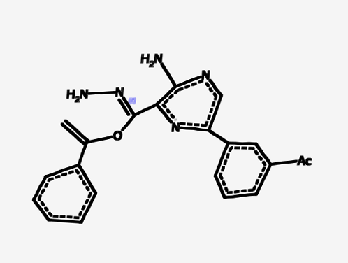 C=C(O/C(=N\N)c1nc(-c2cccc(C(C)=O)c2)cnc1N)c1ccccc1